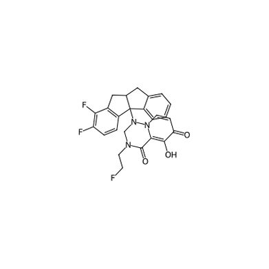 O=C1c2c(O)c(=O)ccn2N(C23c4ccccc4CC2Cc2c3ccc(F)c2F)CN1CCF